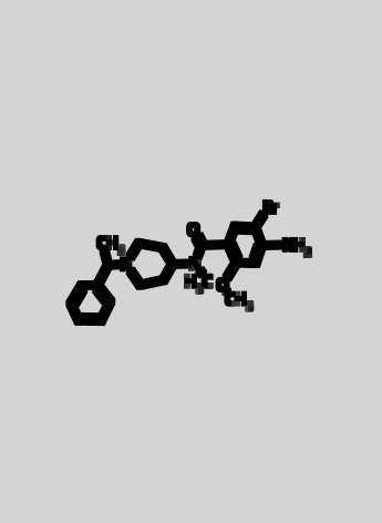 COc1cc(N)c(Br)cc1C(=O)N(C)C1CCN(C(C)c2ccccc2)CC1